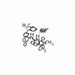 Cc1ccccc1Cc1cccc([C@H](CC(=O)[O-])NC(=O)Nc2c([O-])c(C)cn(C)c2=O)c1.[Na+].[Na+]